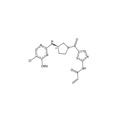 C=CC(=O)Nc1ncc(C(=O)N2CC[C@@H](Nc3ncc(Cl)c(OC)n3)C2)s1